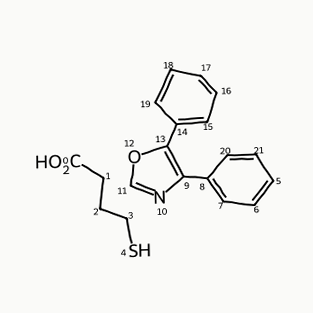 O=C(O)CCCS.c1ccc(-c2ncoc2-c2ccccc2)cc1